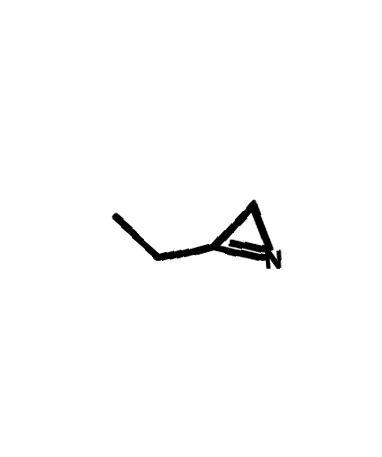 CCC1=NC1